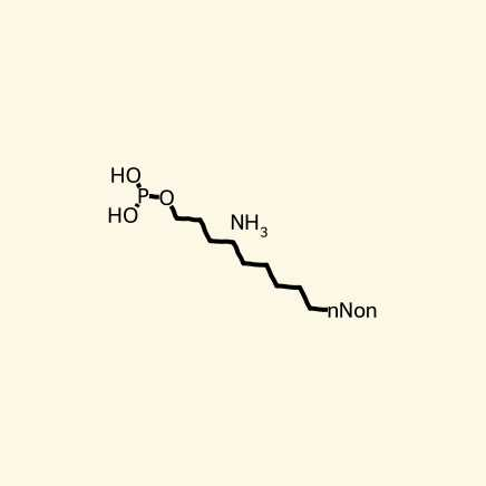 CCCCCCCCCCCCCCCCCCOP(O)O.N